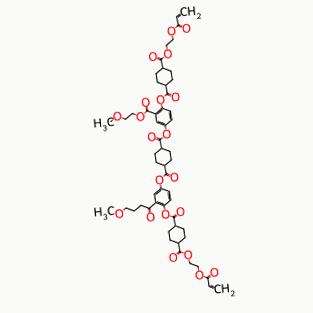 C=CC(=O)OCCOC(=O)C1CCC(C(=O)Oc2ccc(OC(=O)C3CCC(C(=O)Oc4ccc(OC(=O)C5CCC(C(=O)OCCOC(=O)C=C)CC5)c(C(=O)OCCOC)c4)CC3)cc2C(=O)CCCOC)CC1